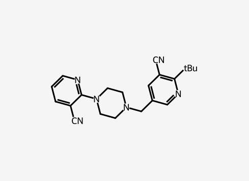 CC(C)(C)c1ncc(CN2CCN(c3ncccc3C#N)CC2)cc1C#N